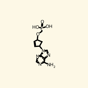 Nc1ncnc2c1ncn2C1C=CC(OCP(=O)(O)O)C1